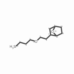 [SiH3]CCCOCCC1CC2CCC1O2